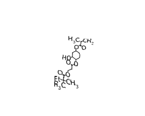 C=C(C)C(=O)OC1CCC(OC(=O)CCOC(=O)C(C)(C)CC)C(O)C1